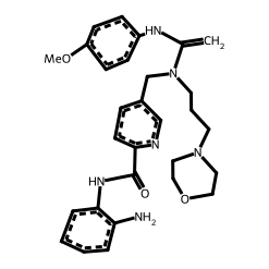 C=C(Nc1ccc(OC)cc1)N(CCCN1CCOCC1)Cc1ccc(C(=O)Nc2ccccc2N)nc1